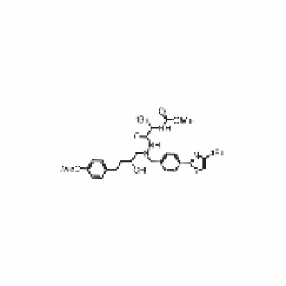 COC(=O)NC(C(=O)NN(Cc1ccc(-c2nc(C(C)(C)C)cs2)cc1)C[C@H](O)CCc1ccc(OC)cc1)C(C)(C)C